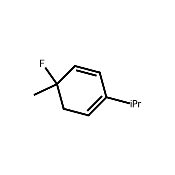 CC(C)C1=CCC(C)(F)C=C1